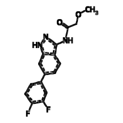 COCC(=O)Nc1n[nH]c2cc(-c3ccc(F)c(F)c3)ccc12